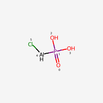 O=[P](O)(O)[AlH][Cl]